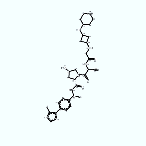 Cc1ncsc1-c1ccc([C@H](C)NC(=O)[C@@H]2C[C@@H](O)CN2C(=O)[C@@H](NC(=O)CNC2CC(OC3CCNCC3)C2)C(C)(C)C)cc1